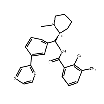 CN1CCCC[C@H]1C(NC(=O)c1cccc(C(F)(F)F)c1Cl)c1cccc(-c2cnccn2)c1